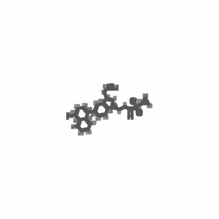 CC(C)(C)Cc1cn(CCNS(=O)(=O)C2CC2)c2ccc(-c3ccc(F)c4ccccc34)cc12